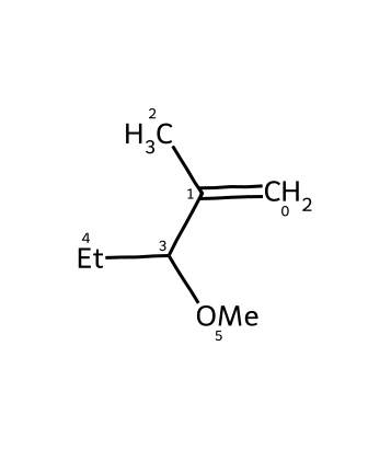 C=C(C)C(CC)OC